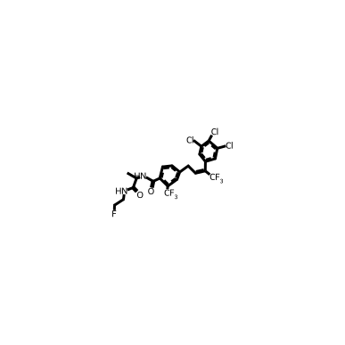 CC(NC(=O)c1ccc(CC=C(c2cc(Cl)c(Cl)c(Cl)c2)C(F)(F)F)cc1C(F)(F)F)C(=O)NCCF